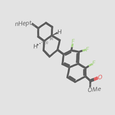 CCCCCCCC1CC[C@@H]2CC(c3cc4ccc(C(=O)OC)c(F)c4c(F)c3F)CC[C@H]2C1